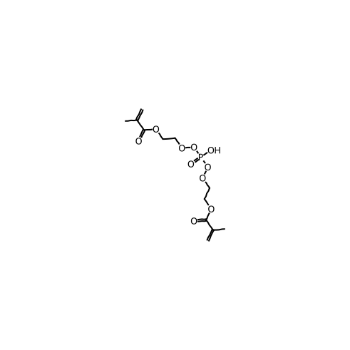 C=C(C)C(=O)OCCOOP(=O)(O)OOCCOC(=O)C(=C)C